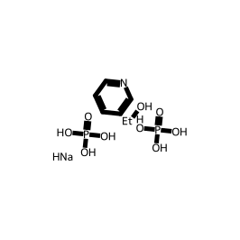 CCO.O=P(O)(O)O.O=P(O)(O)O.[NaH].c1ccncc1